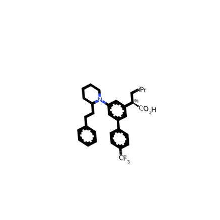 CC(C)C[C@@H](C(=O)O)c1cc(-c2ccc(C(F)(F)F)cc2)cc(N2CCCCC2CCc2ccccc2)c1